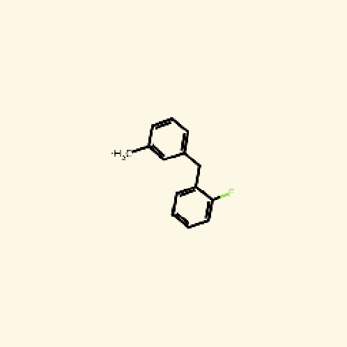 [CH2]c1cccc(Cc2ccccc2F)c1